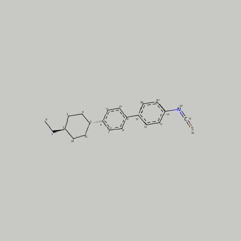 CC[C@H]1CC[C@H](c2ccc(-c3ccc(N=C=S)cc3)cc2)CC1